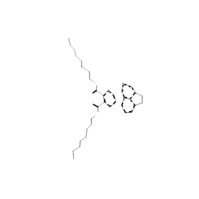 CCCCCCCCOC(=O)c1ccccc1C(=O)OCCCCCCCC.c1cc2c3c(cccc3c1)CC2